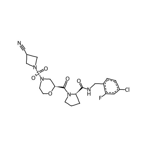 N#CC1CN(S(=O)(=O)N2CCO[C@H](C(=O)N3CCC[C@@H]3C(=O)NCc3ccc(Cl)cc3F)C2)C1